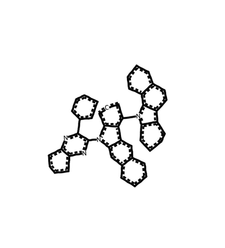 c1ccc(-c2nc3ccccc3nc2-n2c3cc4ccccc4cc3c3c(-n4c5ccccc5c5ccc6ccccc6c54)cccc32)cc1